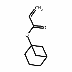 C=CC(=O)OC12CCCC(C1)C2